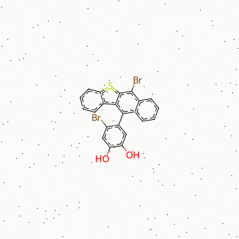 Oc1cc(Br)c(-c2c3ccccc3c(Br)c3sc4ccccc4c23)cc1O